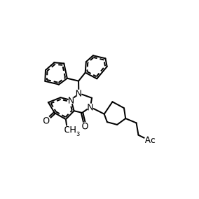 CC(=O)CCC1CCC(N2CN(C(c3ccccc3)c3ccccc3)n3ccc(=O)c(C)c3C2=O)CC1